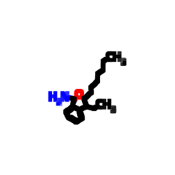 CCCCCCCCC(CC)c1ccccc1C(N)=O